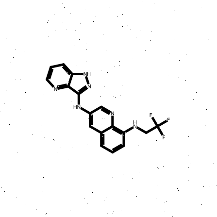 FC(F)(F)CNc1cccc2cc(Nc3n[nH]c4cccnc34)cnc12